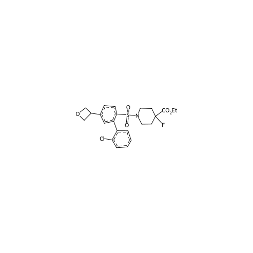 CCOC(=O)C1(F)CCN(S(=O)(=O)c2ccc(C3COC3)cc2-c2ccccc2Cl)CC1